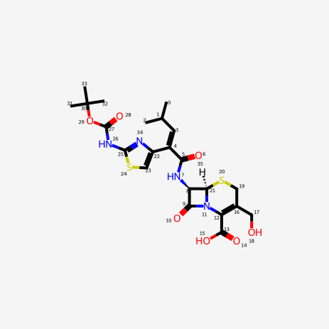 CC(C)/C=C(/C(=O)N[C@@H]1C(=O)N2C(C(=O)O)=C(CO)CS[C@H]12)c1csc(NC(=O)OC(C)(C)C)n1